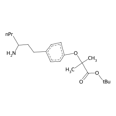 CCCC(N)CCc1ccc(OC(C)(C)C(=O)OC(C)(C)C)cc1